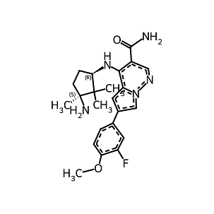 COc1ccc(-c2cc3c(N[C@@H]4CC[C@](C)(N)C4(C)C)c(C(N)=O)cnn3c2)cc1F